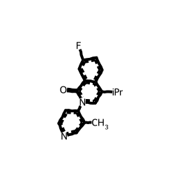 Cc1cnccc1-n1cc(C(C)C)c2ccc(F)cc2c1=O